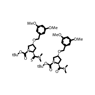 COc1cc(CO[C@@H]2C[C@@H](C(=O)N(C)C)N(C(=O)OC(C)(C)C)C2)cc(OC)c1.COc1cc(CO[C@@H]2C[C@@H](C(=S)N(C)C)N(C(=O)OC(C)(C)C)C2)cc(OC)c1